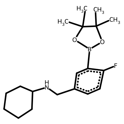 CC1(C)OB(c2cc(CNC3CCCCC3)ccc2F)OC1(C)C